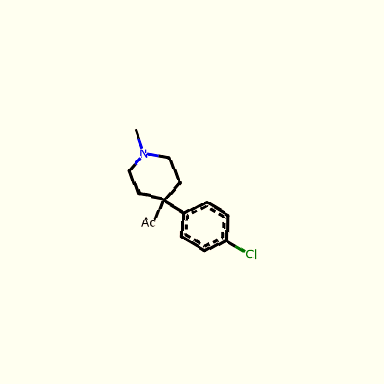 CC(=O)C1(c2ccc(Cl)cc2)CCN(C)CC1